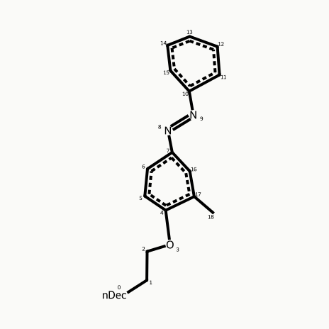 CCCCCCCCCCCCOc1ccc(/N=N/c2ccccc2)cc1C